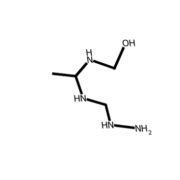 CC(NCO)NCNN